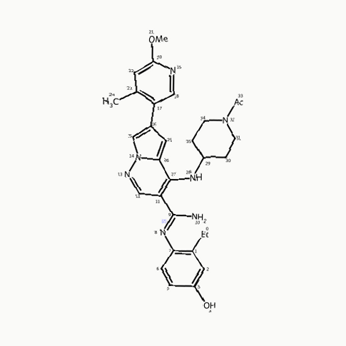 CCc1cc(O)ccc1/N=C(\N)c1cnn2cc(-c3cnc(OC)cc3C)cc2c1NC1CCN(C(C)=O)CC1